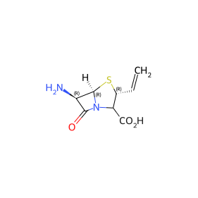 C=C[C@H]1S[C@@H]2[C@H](N)C(=O)N2C1C(=O)O